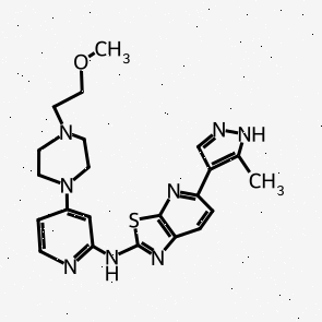 COCCN1CCN(c2ccnc(Nc3nc4ccc(-c5cn[nH]c5C)nc4s3)c2)CC1